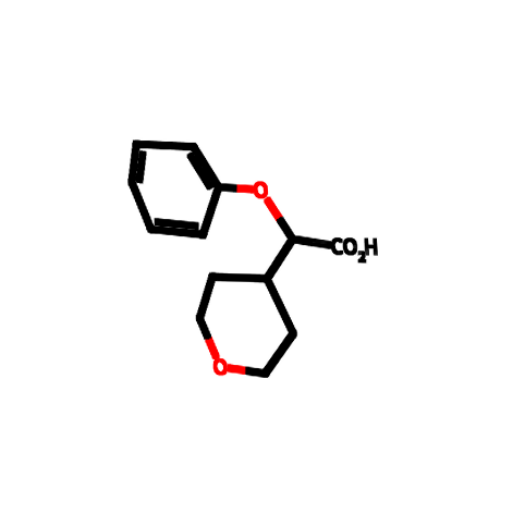 O=C(O)C(Oc1ccccc1)C1CCOCC1